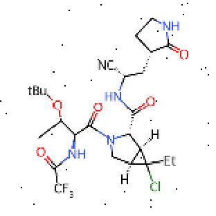 CCC1(Cl)[C@@H]2[C@@H](C(=O)N[C@H](C#N)C[C@@H]3CCNC3=O)N(C(=O)[C@@H](NC(=O)C(F)(F)F)C(C)OC(C)(C)C)C[C@@H]21